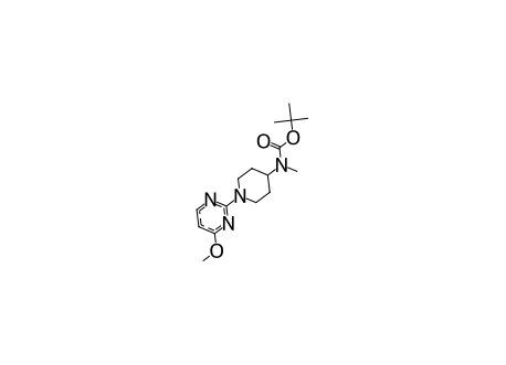 COc1ccnc(N2CCC(N(C)C(=O)OC(C)(C)C)CC2)n1